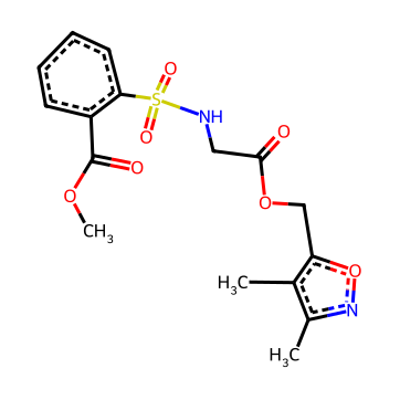 COC(=O)c1ccccc1S(=O)(=O)NCC(=O)OCc1onc(C)c1C